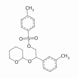 Cc1ccc(S(=O)(=O)OCC(OC2CCCCO2)c2cccc(C)c2)cc1